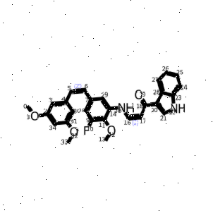 COc1cc(/C=C\c2cc(F)c(OC)c(N/C=C\C(=O)c3c[nH]c4ccccc34)c2)cc(OC)c1